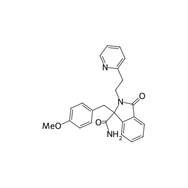 COc1ccc(CC2(C(N)=O)c3ccccc3C(=O)N2CCc2ccccn2)cc1